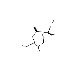 CC(C)CC1CC(=O)N(C(=O)OC(C)(C)C)CC1C